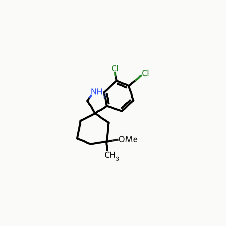 COC1(C)CCCC(CN)(c2ccc(Cl)c(Cl)c2)C1